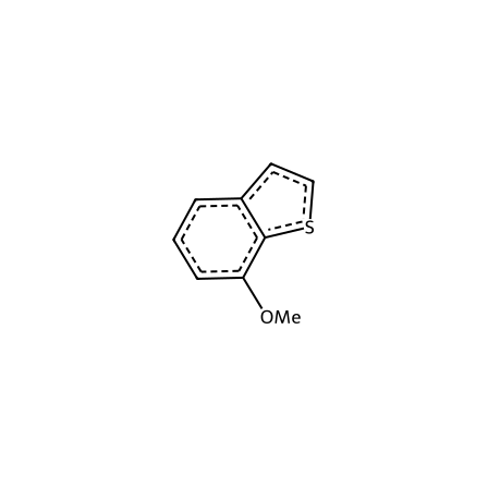 COc1cccc2ccsc12